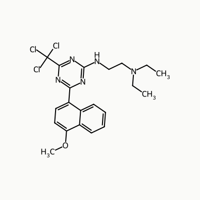 CCN(CC)CCNc1nc(-c2ccc(OC)c3ccccc23)nc(C(Cl)(Cl)Cl)n1